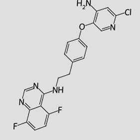 Nc1cc(Cl)ncc1Oc1ccc(CCNc2ncnc3c(F)ccc(F)c23)cc1